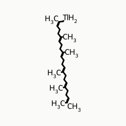 CC(C)=CCC/C(C)=C/CC/C(C)=C/CC/C=C(\C)CC/C=C(\C)CCC=C(C)[CH2][TlH2]